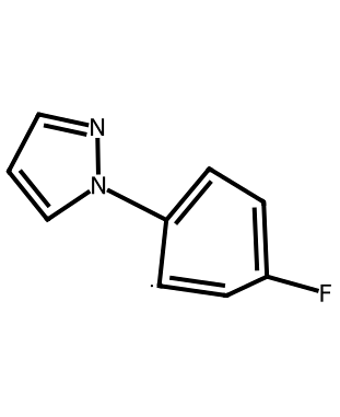 Fc1c[c]c(-n2cccn2)cc1